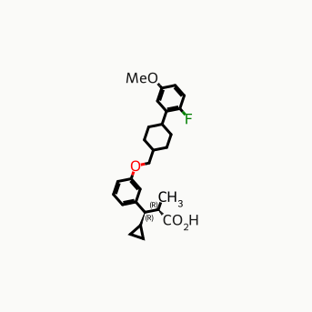 COc1ccc(F)c(C2CCC(COc3cccc([C@H](C4CC4)[C@@H](C)C(=O)O)c3)CC2)c1